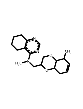 CC1C=CCC2OC(CN(C)c3ncnc4c3CCCC4)COC12